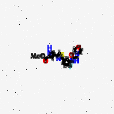 COC(=O)c1cc(-c2csc(-c3ccc(F)c(NC(=O)CN4CCOCC4)c3)n2)c[nH]1